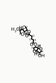 C[C@H]1CO[C@H]2[C@@H]1OC[C@@H]2OC(=O)CCCC(=O)O[C@H]1CO[C@H]2[C@@H]1OC[C@@H]2O